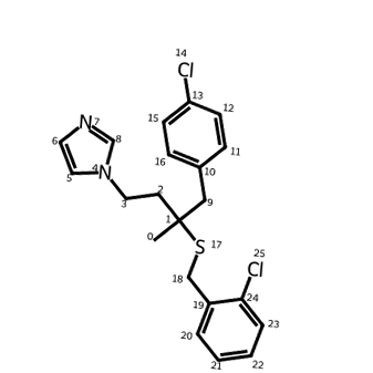 CC(CCn1ccnc1)(Cc1ccc(Cl)cc1)SCc1ccccc1Cl